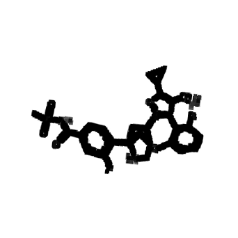 CS(=O)(=O)NC(=O)c1ccc(C23CC(CN2)C(N2OC(C4CC4)=C(C(=O)O)C2c2c(Cl)cccc2Cl)C3)c(F)c1